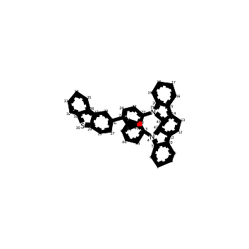 c1ccc(-n2c3ccccc3c3ccc4c5ccccc5n(-c5ccc(-c6ccc7sc8ccccc8c7c6)cc5)c4c32)cc1